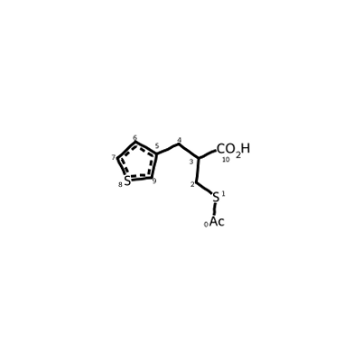 CC(=O)SCC(Cc1ccsc1)C(=O)O